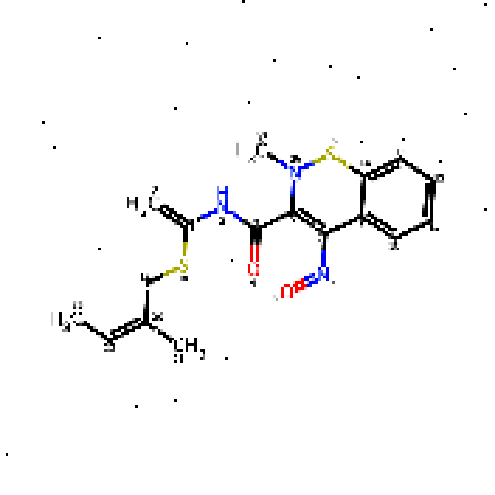 C=C(NC(=O)C1=C(N=O)c2ccccc2SN1C)SC/C(C)=C\C